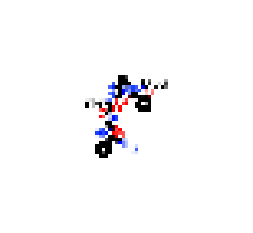 CCCC(NC(=O)C1CC(C)(C)CN1C(=O)[C@@H](NC(=O)OCC(C)C)C1CCCCC1)C(=O)C(=O)NCC(=O)N[C@H](C(N)=O)c1ccccc1